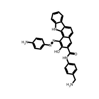 NCc1ccc(NC(=O)c2cc3ccc4c5ccccc5[nH]c4c3c(N=Nc3ccc(N)cc3)c2O)cc1